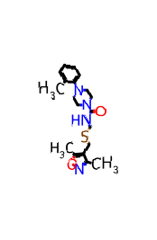 Cc1ccccc1N1CCN(C(=O)NCSCc2c(C)noc2C)CC1